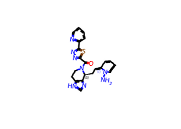 NN1C=CC=C/C1=C/C[C@H]1c2nc[nH]c2CCN1C(=O)c1nnc(-c2ccccn2)s1